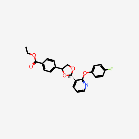 CCOC(=O)c1ccc(C2CO[C@H](c3cccnc3Oc3ccc(F)cc3)O2)cc1